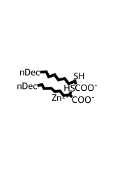 CCCCCCCCCCCCCCCCC(S)C(=O)[O-].CCCCCCCCCCCCCCCCC(S)C(=O)[O-].[Zn+2]